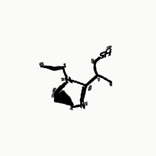 CCn1ccnc1C(C)CS